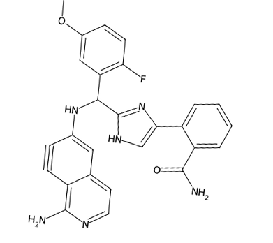 COc1ccc(F)c(C(Nc2c#cc3c(N)nccc3c2)c2nc(-c3ccccc3C(N)=O)c[nH]2)c1